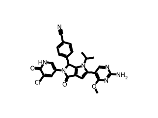 COc1nc(N)ncc1-c1cc2c(n1C(C)C)C(c1ccc(C#N)cc1)N(c1c[nH]c(=O)c(Cl)c1)C2=O